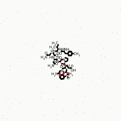 CC[C@H](C)[C@H](NC(=O)[C@@H](N)Cc1ccc(C)cc1)C(=O)N[C@@H](CCC(N)=O)C(=O)N[C@@H](CC(N)=O)C(=O)N[C@@H](CCSCCC(=O)O)C(=O)N1CCC[C@H]1C(=O)N[C@@H](CC(C)C)C(=O)N(CC(N)=O)Sc1ccccc1[N+](=O)[O-]